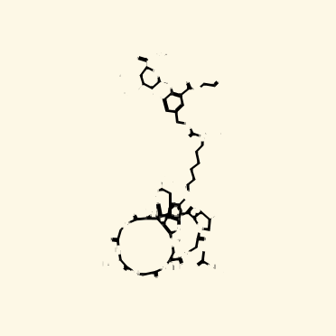 C=CCOC(=O)c1cc(COC(=O)N(C)CCCCCCOc2ccc3c4c([nH]c3c2)[S+]([O-])C[C@@H]2NC(=O)CNC(=O)C([C@@H](C)CC)NC(=O)CNC(=O)[C@H](C4)NC(=O)[C@H]([C@@H](C)[C@H](C)O)NC(=O)[C@@H]3C[C@@H](O)CN3C(=O)[C@H](CC(N)=O)NC2=O)ccc1O[C@@H]1O[C@H](C(=O)OC)[C@@H](OC(C)=O)[C@H](OC(C)=O)[C@H]1OC(C)=O